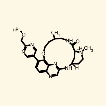 CCCOCc1ncc(-c2ccc3ncc4nc3c2OCCC(C)CNC(=O)[C@@H]2C[C@H](CCN2C)N4)cn1